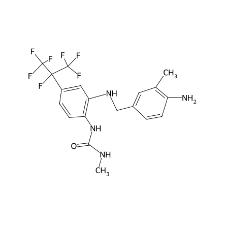 CNC(=O)Nc1ccc(C(F)(C(F)(F)F)C(F)(F)F)cc1NCc1ccc(N)c(C)c1